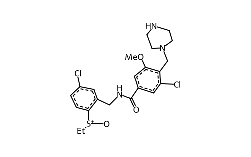 CC[S+]([O-])c1ccc(Cl)cc1CNC(=O)c1cc(Cl)c(CN2CCNCC2)c(OC)c1